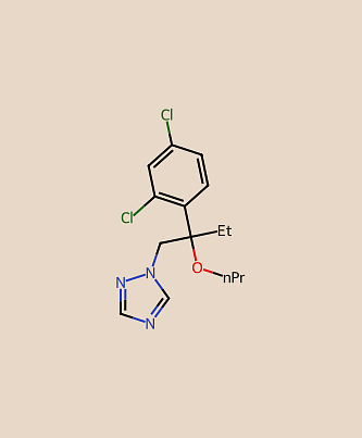 CCCOC(CC)(Cn1cncn1)c1ccc(Cl)cc1Cl